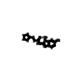 CCc1ccc2nc(NC(=O)CCC3CCCC3)n(C(C)C)c2c1